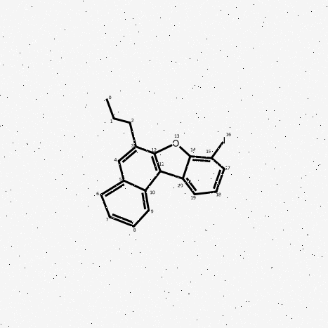 CCCc1cc2ccccc2c2c1oc1c(I)cccc12